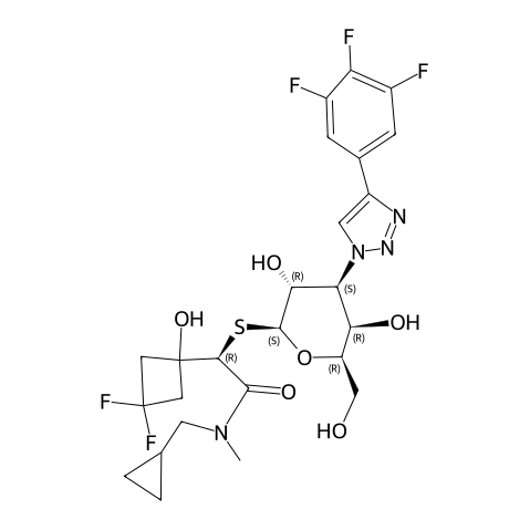 CN(CC1CC1)C(=O)[C@H](S[C@@H]1O[C@H](CO)[C@H](O)[C@H](n2cc(-c3cc(F)c(F)c(F)c3)nn2)[C@H]1O)C1(O)CC(F)(F)C1